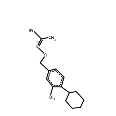 C/C(=N\OCc1ccc(C2CCCCC2)c(C(F)(F)F)c1)C(C)C